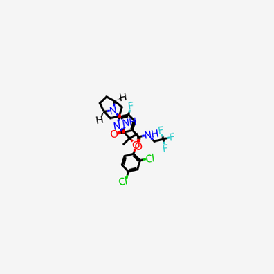 CC(C)(Oc1ccc(Cl)cc1Cl)C(=O)N[C@H]1C[C@H]2CC[C@@H](C1)N2c1ncc(C(=O)NCC(F)(F)F)cc1F